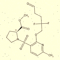 COC(=O)[C@@H]1CCCN1S(=O)(=O)c1ccc(C)nc1OCC(F)(F)CCC=O